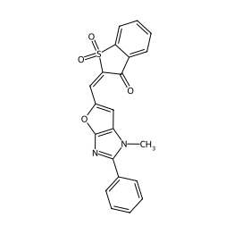 Cn1c(-c2ccccc2)nc2oc(/C=C3\C(=O)c4ccccc4S3(=O)=O)cc21